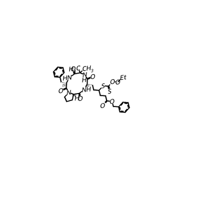 CCOOC(=S)SC(CCC(=O)OCc1ccccc1)CC[C@@H]1NC(=O)[C@H]2CCCN2C(=O)[C@H](Cc2ccccc2)NC(=O)C(C)(C)NC1=O